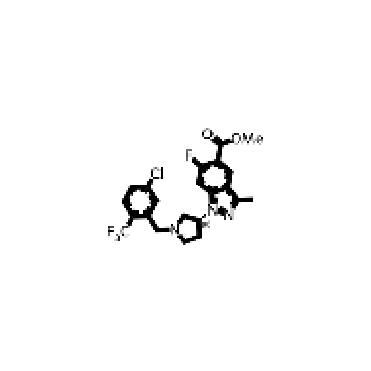 COC(=O)c1cc2c(C)nn([C@@H]3CCN(Cc4cc(Cl)ccc4C(F)(F)F)C3)c2cc1F